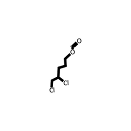 O=[C]OCCCC(Cl)CCl